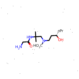 CCC[C@H](O)CCN(CC(C)(C)NC(=O)CN)C(=O)O